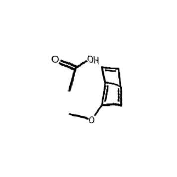 CC(=O)O.COc1cc2ccc1-2